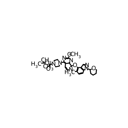 COc1nc(N2CCN(C(=O)OC(C)(C)C)CC2)c2ccnc(Oc3c(C)ccc4c3cnn4C3CCCCO3)c2n1